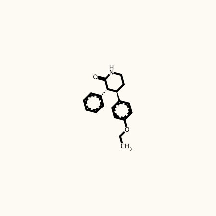 CCOc1ccc([C@@H]2CCNC(=O)[C@H]2c2ccccc2)cc1